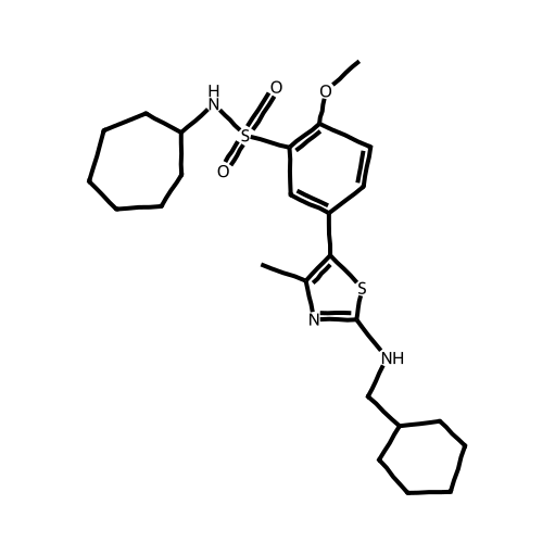 COc1ccc(-c2sc(NCC3CCCCC3)nc2C)cc1S(=O)(=O)NC1CCCCCC1